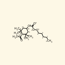 CCCCCOOC(=O)OC1CC(C)(C)N(C(C)=O)C(C)(C)C1